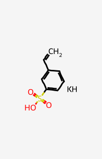 C=Cc1cccc(S(=O)(=O)O)c1.[KH]